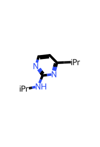 CC(C)Nc1nccc(C(C)C)n1